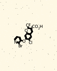 O=C(O)C1=Cc2cc(Cl)c(Oc3cccnc3Br)cc2OC1C(F)(F)F